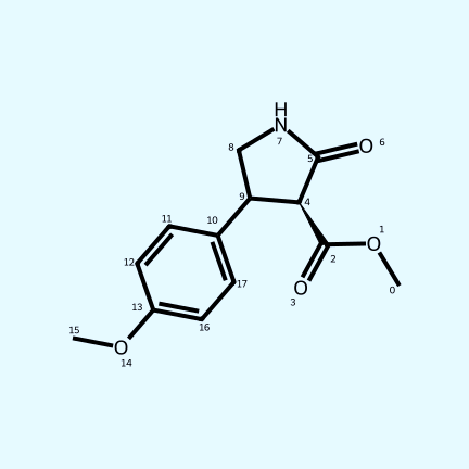 COC(=O)[C@@H]1C(=O)NCC1c1ccc(OC)cc1